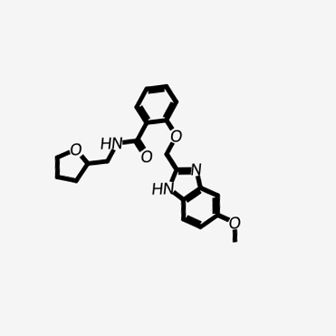 COc1ccc2[nH]c(COc3ccccc3C(=O)NCC3CCCO3)nc2c1